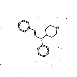 C(=CN(c1ccccc1)C1CCNCC1)c1ccccc1